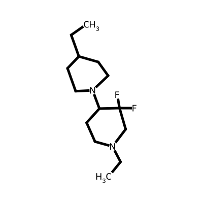 CCC1CCN(C2CCN(CC)CC2(F)F)CC1